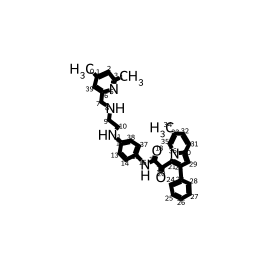 Cc1cc(C)nc(CNCCNc2ccc(NC(=O)C(=O)c3c(-c4ccccc4)cc4ccc(C)cn34)cc2)c1